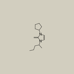 C=C1N(C(C)CCC)C=CN1C1CCCC1